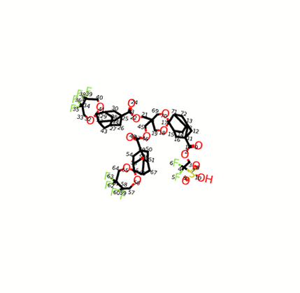 O=C(OCC(F)(F)S(=O)(=O)O)C12CC3CC(C1)C1(OCC(COC(=O)C45CC6CC(C4)C4(OCC(F)(F)C(F)(F)CO4)C(C6)C5)(COC(=O)C45CC6CC(C4)C4(OCC(F)(F)C(F)(F)CO4)C(C6)C5)CO1)C(C3)C2